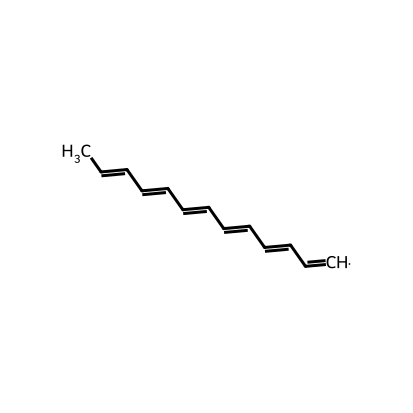 [CH]=CC=CC=CC=CC=CC=CC